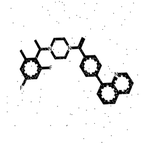 C=C(c1ccc(-c2cccc3cccnc23)cc1)N1CCN(C(C)c2c(C)cc(F)cc2F)CC1